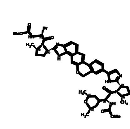 COC(=O)N[C@H](C(=O)N1[C@@H](C)CC[C@H]1c1nc2ccc3cc4c(cc3c2[nH]1)OCc1cc(-c2cnc([C@@H]3CC[C@H](C)N3C(=O)[C@H](NC(=O)OC)C3C[C@@H](C)O[C@H](C)C3)[nH]2)ccc1-4)C(C)C